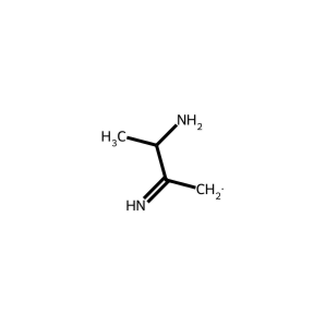 [CH2]C(=N)C(C)N